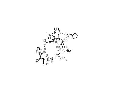 CC[C@@H]1OC(=O)[C@H](C)C(=O)[C@H](C)[C@@H](O[C@@H]2O[C@H](CN3CCCC3)CC(N(C)C)C2O)[C@](C)(OC)C[C@@H](C)CN[C@H](C)[C@H]2NC(=O)O[C@]12C